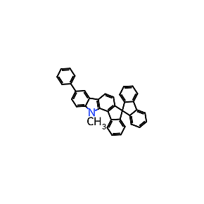 Cn1c2ccc(-c3ccccc3)cc2c2ccc3c(c21)-c1ccccc1C31c2ccccc2-c2ccccc21